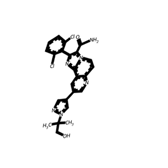 CC(C)(CO)n1cc(-c2cnc3ccn4c(C(N)=O)c(-c5c(Cl)cccc5Cl)nc4c3c2)cn1